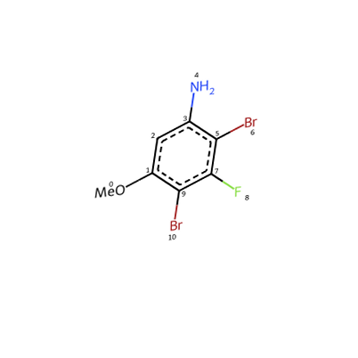 COc1cc(N)c(Br)c(F)c1Br